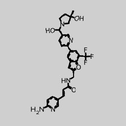 CC1(O)CCN(C(O)c2ccc(-c3cc(C(F)(F)F)c4oc(CNC(=O)/C=C/c5ccc(N)nc5)cc4c3)nc2)C1